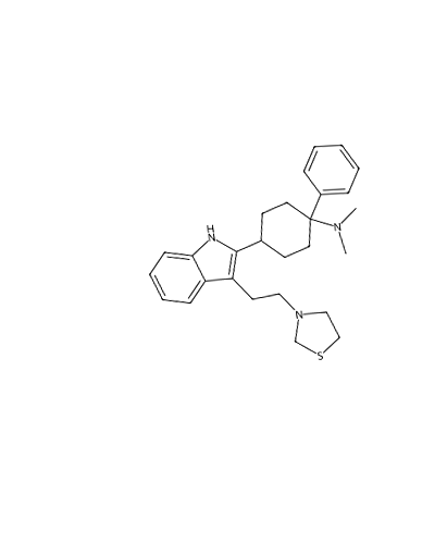 CN(C)C1(c2ccccc2)CCC(c2[nH]c3ccccc3c2CCN2CCSC2)CC1